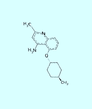 Cc1cc(N)c2c(O[C@H]3CC[C@H](C)CC3)cccc2n1